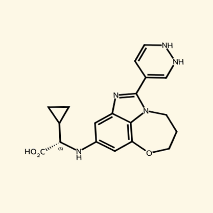 O=C(O)[C@@H](Nc1cc2c3c(c1)nc(C1=CNNC=C1)n3CCCO2)C1CC1